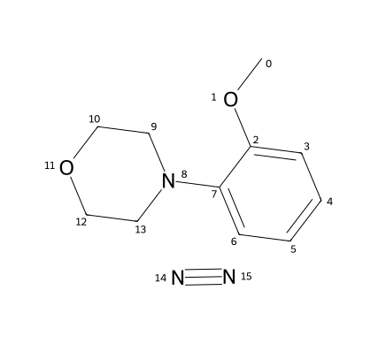 COc1ccccc1N1CCOCC1.N#N